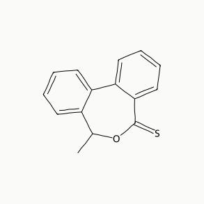 CC1OC(=S)c2ccccc2-c2ccccc21